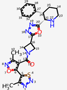 Cc1nnsc1-c1onc(C)c1C(=O)N1CC(c2nnc([C@H]3NCCC[C@H]3c3ccccc3)o2)C1